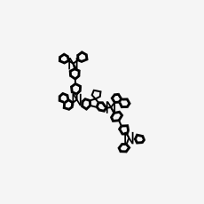 c1ccc(N(c2ccccc2)c2ccc(-c3ccc(N(c4ccc5c(c4)C4(CCCC4)c4cc(N(c6ccc(-c7ccc(N(c8ccccc8)c8ccccc8)cc7)cc6)c6cccc7ccccc67)ccc4-5)c4cccc5ccccc45)cc3)cc2)cc1